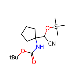 CC(C)(C)OC(=O)NC1(C(C#N)O[Si](C)(C)C)CCCC1